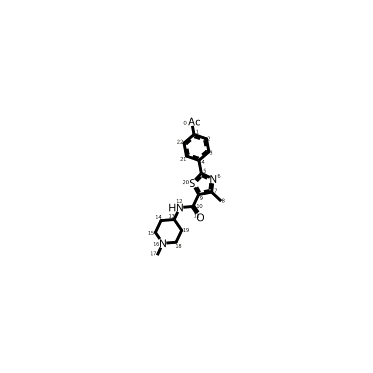 CC(=O)c1ccc(-c2nc(C)c(C(=O)NC3CCN(C)CC3)s2)cc1